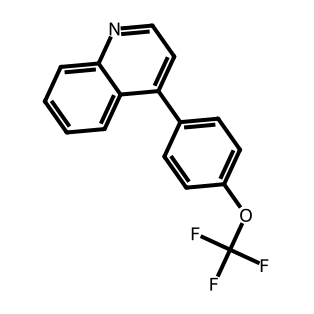 FC(F)(F)Oc1ccc(-c2ccnc3ccccc23)cc1